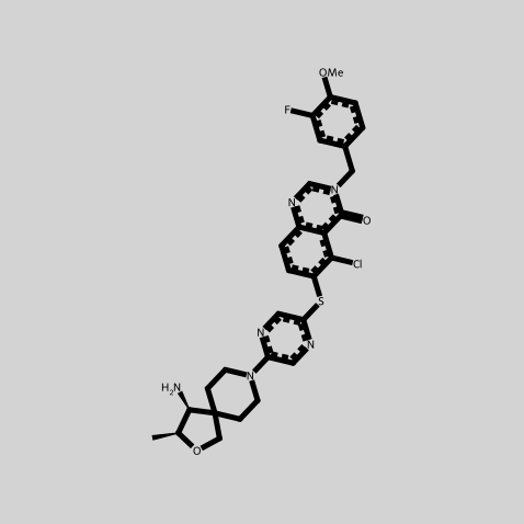 COc1ccc(Cn2cnc3ccc(Sc4cnc(N5CCC6(CC5)CO[C@@H](C)[C@H]6N)cn4)c(Cl)c3c2=O)cc1F